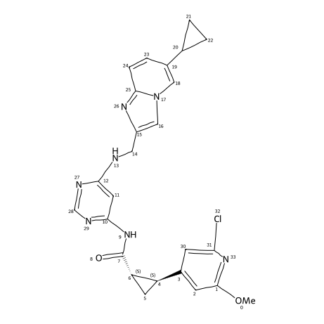 COc1cc([C@H]2C[C@@H]2C(=O)Nc2cc(NCc3cn4cc(C5CC5)ccc4n3)ncn2)cc(Cl)n1